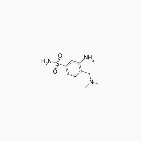 CN(C)Cc1ccc(S(N)(=O)=O)cc1N